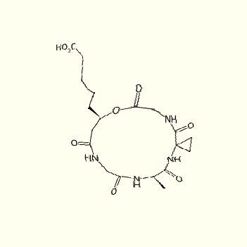 C[C@H]1NC(=O)CNC(=O)C[C@@H](CCCCC(=O)O)OC(=O)CNC(=O)C2(CC2)NC1=O